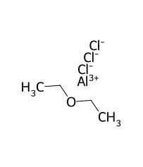 CCOCC.[Al+3].[Cl-].[Cl-].[Cl-]